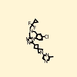 Cc1cncc(N2CC3(CC(c4nnc5n4-c4ccc(Cl)cc4CN(CC(F)(F)C4CC4)C5)C3)C2)n1